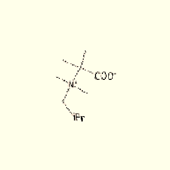 CC(C)C[N+](C)(C)C(C)(C)C(=O)[O-]